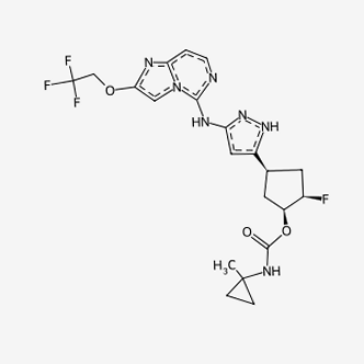 CC1(NC(=O)O[C@H]2C[C@@H](c3cc(Nc4nccc5nc(OCC(F)(F)F)cn45)n[nH]3)C[C@H]2F)CC1